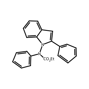 CCOC(=O)N(c1ccccc1)n1c(-c2ccccc2)cc2ccccc21